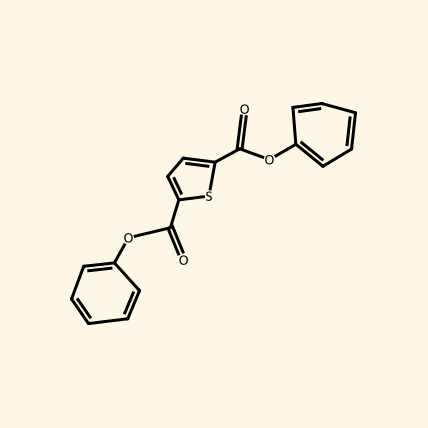 O=C(Oc1ccccc1)c1ccc(C(=O)Oc2ccccc2)s1